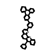 c1ccc(-c2c3ccccc3nc3c2ccc2ccc(-c4cccc(-c5ccc6c7ccccc7c7ccccc7c6c5)c4)nc23)cc1